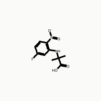 CC(C)(Nc1cc(F)ccc1[N+](=O)[O-])C(=O)O